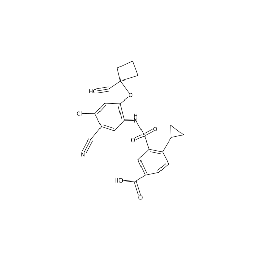 C#CC1(Oc2cc(Cl)c(C#N)cc2NS(=O)(=O)c2cc(C(=O)O)ccc2C2CC2)CCC1